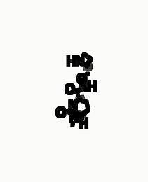 CN1C(=O)N2C[C@H]1CC[C@H]2C(=O)NOC[C@H]1CCN1